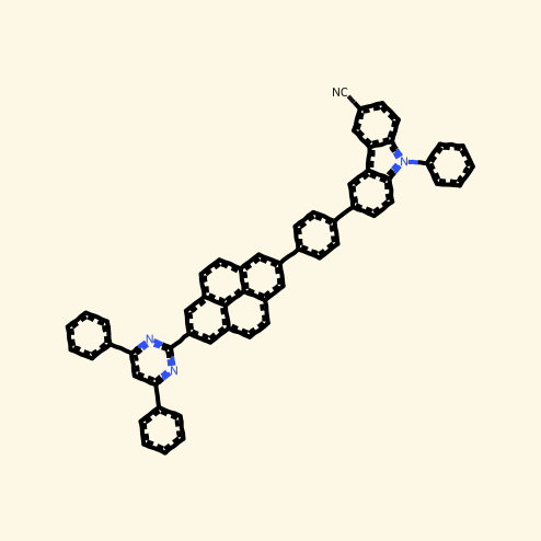 N#Cc1ccc2c(c1)c1cc(-c3ccc(-c4cc5ccc6cc(-c7nc(-c8ccccc8)cc(-c8ccccc8)n7)cc7ccc(c4)c5c67)cc3)ccc1n2-c1ccccc1